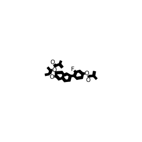 C=C(C)C(=O)OC(C)=C(C)Oc1ccc2cc(-c3ccc(OC(=O)C(=C)C)cc3F)ccc2c1